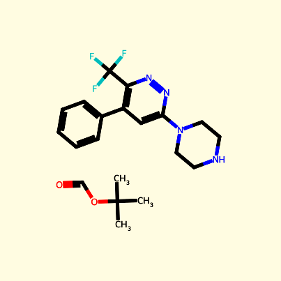 CC(C)(C)OC=O.FC(F)(F)c1nnc(N2CCNCC2)cc1-c1ccccc1